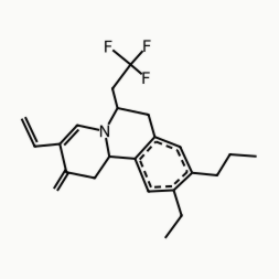 C=CC1=CN2C(CC(F)(F)F)Cc3cc(CCC)c(CC)cc3C2CC1=C